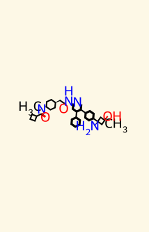 CN(C(=O)C1CCC1)[C@H]1CC[C@H](CC(=O)Nc2cc(-c3ccccc3)c(-c3ccc([C@]4(N)C[C@](C)(O)C4)cc3)cn2)CC1